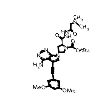 COc1cc(C#Cc2cn([C@H]3C[C@@H](C(=O)NNC(=O)CN(C)C)N(C(=O)OC(C)(C)C)C3)c3ncnc(N)c23)cc(OC)c1